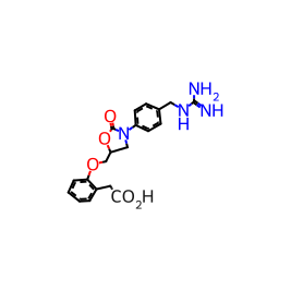 N=C(N)NCc1ccc(N2CC(COc3ccccc3CC(=O)O)OC2=O)cc1